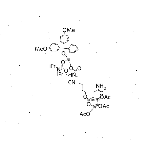 COc1ccc(C(OC[C@@H](COC(=O)NCCCCCO[C@@H]2O[C@H](COC(C)=O)[C@H](OC(C)=O)[C@H](OC(C)=O)[C@H]2CC(N)=O)OP(OCCC#N)N(C(C)C)C(C)C)(c2ccccc2)c2ccc(OC)cc2)cc1